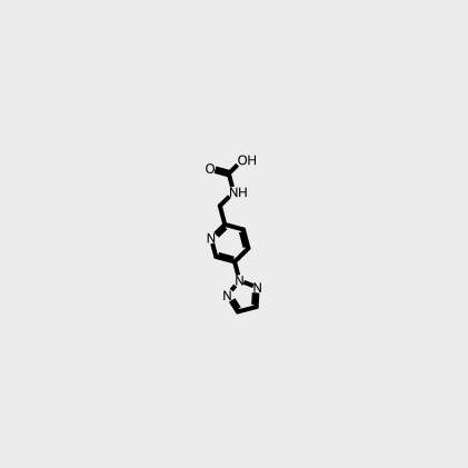 O=C(O)NCc1ccc(-n2nccn2)cn1